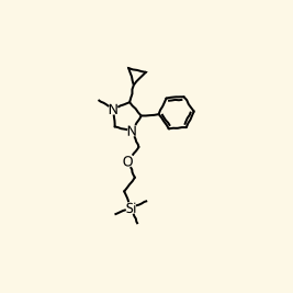 CN1CN(COCC[Si](C)(C)C)C(c2ccccc2)C1C1CC1